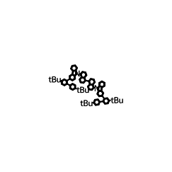 CC(C)(C)c1ccc(-c2ccc(C(C)(C)C)cc2-c2ccc3c(c2)c2ccccc2n3-c2cccc3c(-c4cccc5c(-n6c7ccccc7c7cc(-c8cc(C(C)(C)C)ccc8-c8ccc(C(C)(C)C)cc8)ccc76)cccc45)cccc23)cc1